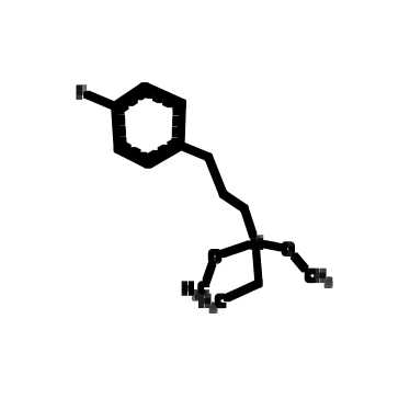 CC[Si](CCCc1ccc(F)cc1)(OC)OC